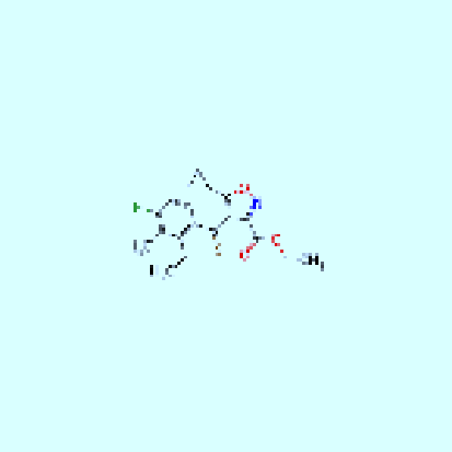 CCOC(=O)c1noc(C2CC2)c1C(=S)c1ccc(F)c(C)c1CC